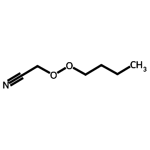 CCCCOOCC#N